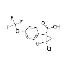 O=C(O)C1(c2ccc(OC(F)(F)F)cc2)CC1(Cl)Cl